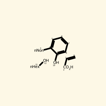 C=CC(=O)O.CCCCCCCCCc1ccccc1O.CCCCCCO